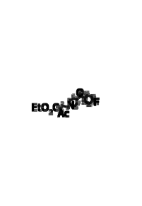 CCOC(=O)C(CCN1CCC(C(=O)c2ccc(F)cc2)CC1)C(C)=O